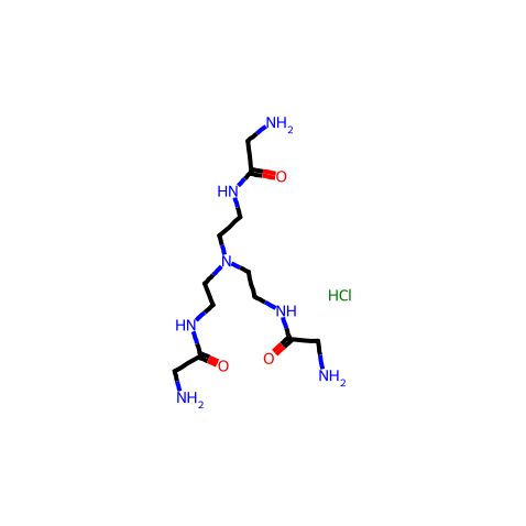 Cl.NCC(=O)NCCN(CCNC(=O)CN)CCNC(=O)CN